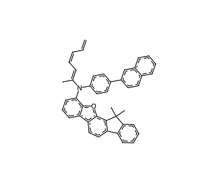 C=C/C=C\C=C(/C)N(c1ccc(-c2ccc3ccccc3c2)cc1)c1cccc2c1oc1c3c(ccc12)-c1ccccc1C3(C)C